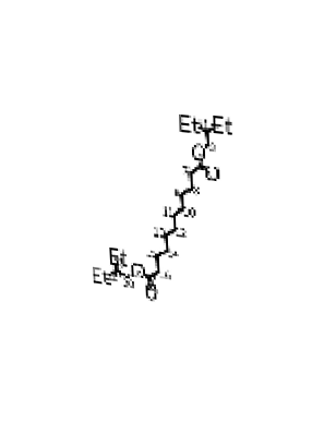 CCC(CC)COC(=O)CCCCCCCCCCC(=O)OCC(CC)CC